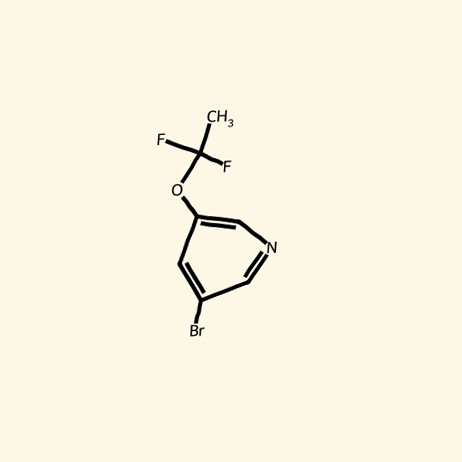 CC(F)(F)Oc1cncc(Br)c1